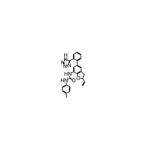 C=CC1Cc2cc(-c3ccccc3-c3nnn[nH]3)cc(NC(=O)Nc3ccc(C)cc3)c2O1